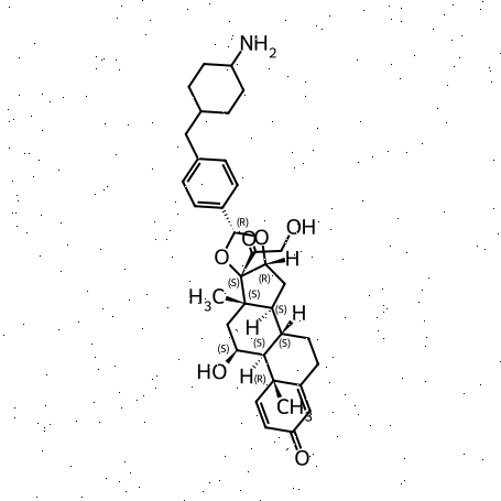 C[C@]12C=CC(=O)C=C1CC[C@@H]1[C@@H]2[C@@H](O)C[C@@]2(C)[C@H]1C[C@H]1O[C@@H](c3ccc(CC4CCC(N)CC4)cc3)O[C@]12C(=O)CO